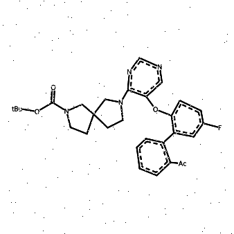 CC(=O)c1ccccc1-c1cc(F)ccc1Oc1cncnc1N1CCC2(CCN(C(=O)OC(C)(C)C)C2)C1